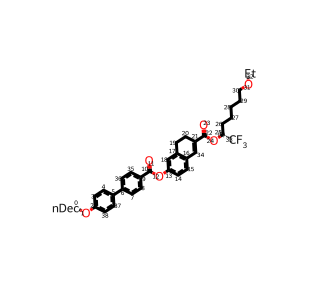 CCCCCCCCCCOc1ccc(-c2ccc(C(=O)Oc3ccc4c(c3)CCC(C(=O)O[C@H](CCCCCOCC)C(F)(F)F)=C4)cc2)cc1